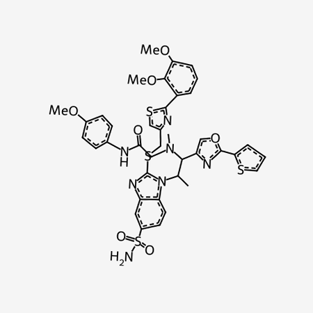 COc1ccc(NC(=O)CN(C)C(c2coc(-c3cccs3)n2)C(C)n2c(SCc3csc(-c4cccc(OC)c4OC)n3)nc3cc(S(N)(=O)=O)ccc32)cc1